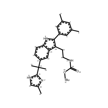 Cc1cc(C)cc(-c2[nH]c3ccc(C(C)(C)c4nc(C)c[nH]4)cc3c2CCNC(=O)OC(C)(C)C)c1